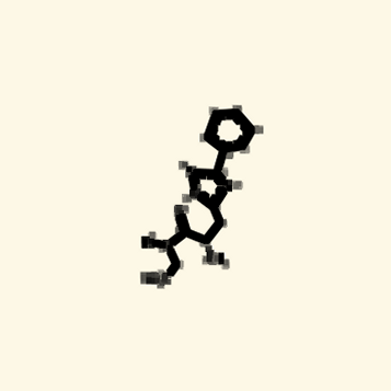 CCN(CC(=O)O)C(=S)[C@@H](C)Cc1nc(-c2ccccc2)no1